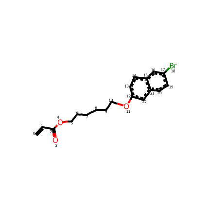 C=CC(=O)OCCCCCCOc1ccc2cc(Br)ccc2c1